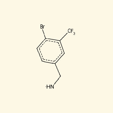 [NH]Cc1ccc(Br)c(C(F)(F)F)c1